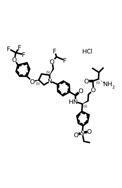 CCS(=O)(=O)c1ccc([C@H](CCOC(=O)[C@@H](N)C(C)C)NC(=O)c2ccc(N3C[C@@H](Oc4ccc(OC(F)(F)F)cc4)C[C@H]3COC(F)F)cc2)cc1.Cl